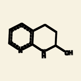 OC1CCc2cccnc2N1